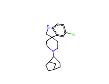 Clc1ccc2c(c1)C1(CCN(C3CCC4CCC3C4)CC1)CN2